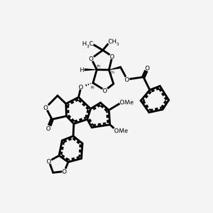 COc1cc2c(O[C@H]3OC[C@@]4(COC(=O)c5ccccc5)OC(C)(C)O[C@@H]34)c3c(c(-c4ccc5c(c4)OCO5)c2cc1OC)C(=O)OC3